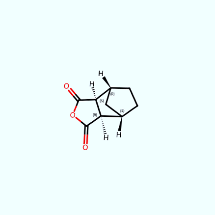 O=C1OC(=O)[C@H]2[C@@H]3CC[C@@H](C3)[C@@H]12